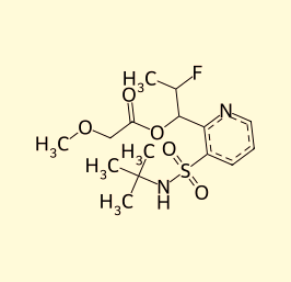 COCC(=O)OC(c1ncccc1S(=O)(=O)NC(C)(C)C)C(C)F